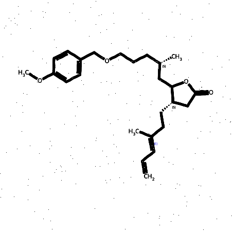 C=C/C=C(\C)CC[C@H]1CC(=O)OC1C[C@@H](C)CCCOCc1ccc(OC)cc1